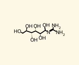 NC(N)=NC(O)[C@H](O)[C@@H](O)[C@H](O)[C@H](O)CO